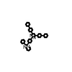 c1ccc(-c2ccc(-c3cc(-c4ccc(-c5ccccc5)cc4)nc(-c4ccc(-c5c(-c6ccccc6)nc6ccccn56)cc4)n3)cc2)cc1